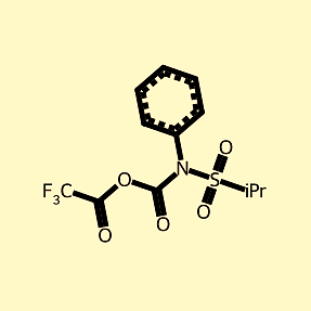 CC(C)S(=O)(=O)N(C(=O)OC(=O)C(F)(F)F)c1ccccc1